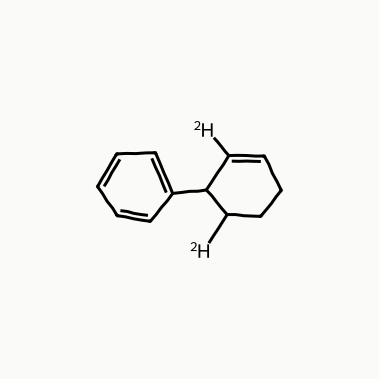 [2H]C1=CCCC([2H])C1c1ccccc1